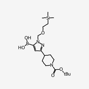 CC(C)(C)OC(=O)N1CCC(c2cc(B(O)O)n(COCC[Si](C)(C)C)n2)CC1